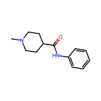 CN1CCC(C(=O)Nc2ccccc2)CC1